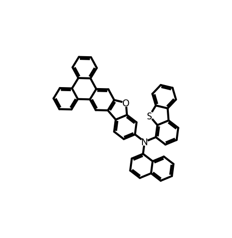 c1ccc2c(N(c3ccc4c(c3)oc3cc5c6ccccc6c6ccccc6c5cc34)c3cccc4c3sc3ccccc34)cccc2c1